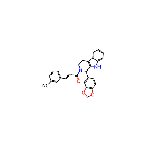 N#Cc1cccc(/C=C/C(=O)N2CCc3c([nH]c4ccccc34)C2c2ccc3c(c2)OCO3)c1